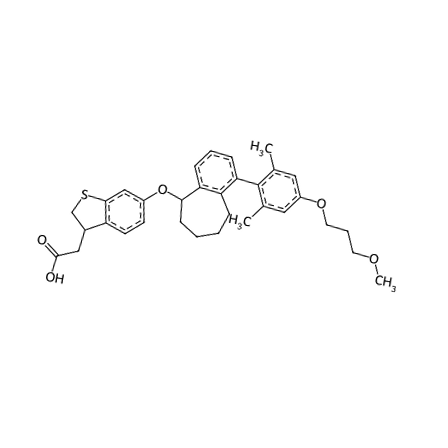 COCCCOc1cc(C)c(-c2cccc3c2CCCCC3Oc2ccc3c(c2)SCC3CC(=O)O)c(C)c1